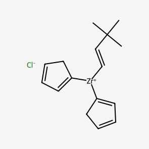 CC(C)(C)/C=[CH]/[Zr+]([C]1=CC=CC1)[C]1=CC=CC1.[Cl-]